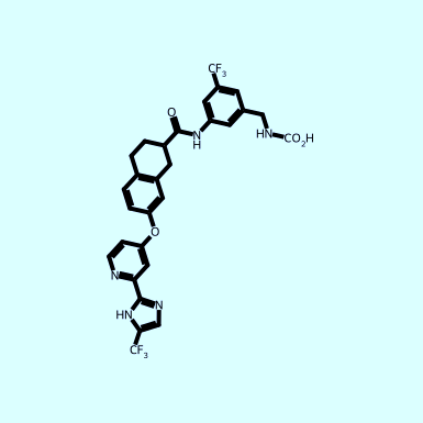 O=C(O)NCc1cc(NC(=O)C2CCc3ccc(Oc4ccnc(-c5ncc(C(F)(F)F)[nH]5)c4)cc3C2)cc(C(F)(F)F)c1